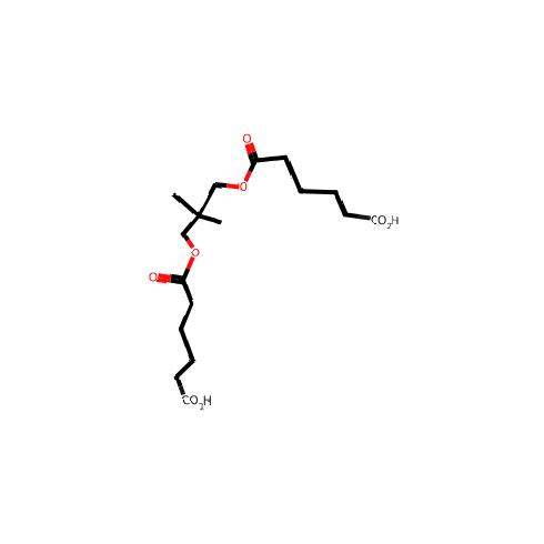 CC(C)(COC(=O)CCCCC(=O)O)COC(=O)CCCCC(=O)O